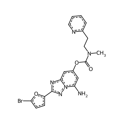 CN(CCc1ccccn1)C(=O)Oc1cc(N)n2nc(-c3ccc(Br)o3)nc2c1